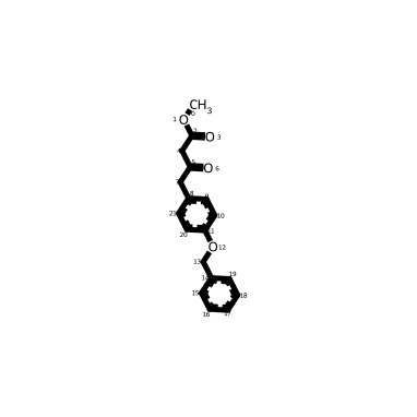 COC(=O)CC(=O)Cc1ccc(OCc2ccccc2)cc1